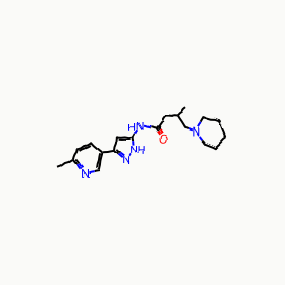 Cc1ccc(-c2cc(NC(=O)CC(C)CN3CCCCC3)[nH]n2)cn1